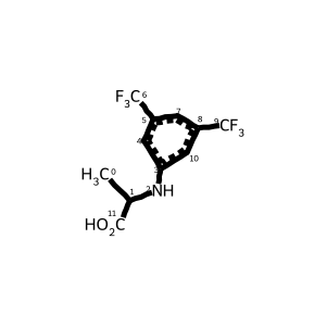 CC(Nc1cc(C(F)(F)F)cc(C(F)(F)F)c1)C(=O)O